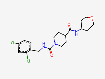 O=C(NC1CCOCC1)C1CCN(C(=O)NCc2ccc(Cl)cc2Cl)CC1